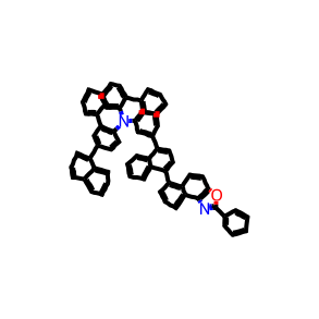 c1ccc(-c2nc3c(ccc4c(-c5ccc(-c6cccc(N(c7ccccc7-c7ccccc7)c7ccc(-c8cccc9ccccc89)cc7-c7ccccc7)c6)c6ccccc56)cccc43)o2)cc1